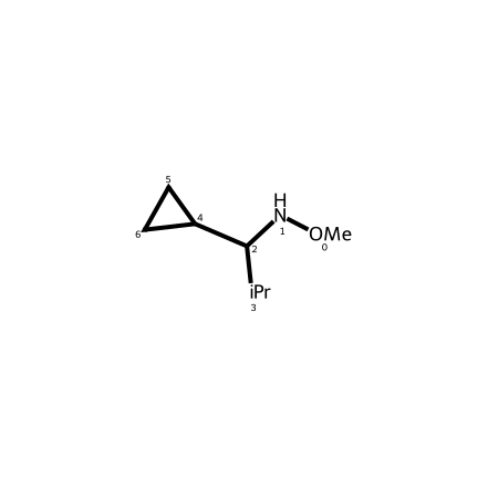 CONC(C(C)C)C1CC1